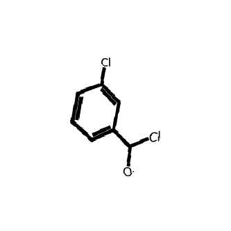 [O]C(Cl)c1cccc(Cl)c1